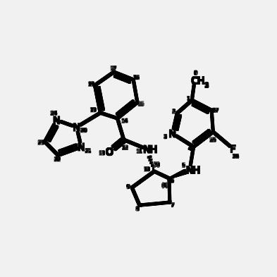 Cc1cnc(N[C@H]2CCC[C@@H]2NC(=O)c2ccccc2-n2nccn2)c(F)c1